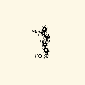 COc1ccccc1Nc1nnc(C(=O)Nc2ccc(C3CCC(CC(=O)O)CC3)cc2)o1